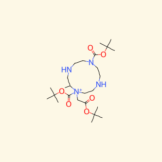 CC1CNCCN(C(=O)OC(C)(C)C)CCNCC[N+]1(CC(=O)OC(C)(C)C)C(=O)OC(C)(C)C